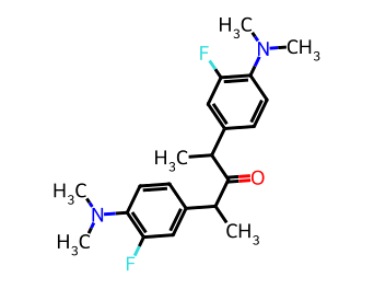 CC(C(=O)C(C)c1ccc(N(C)C)c(F)c1)c1ccc(N(C)C)c(F)c1